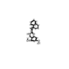 CCOc1ccc([C@H](COC)NC(=O)C2CC23CCCc2ccccc23)cc1